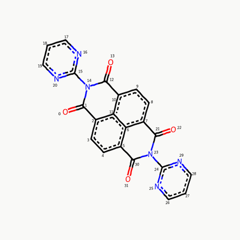 O=C1c2ccc3c4c(ccc(c24)C(=O)N1c1ncccn1)C(=O)N(c1ncccn1)C3=O